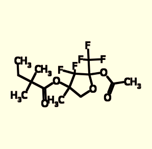 CCC(C)(C)C(=O)OC1(C)COC(OC(C)=O)(C(F)(F)F)C1(F)F